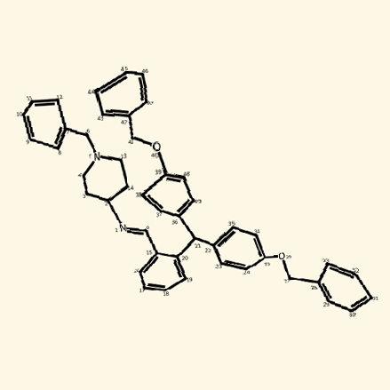 C(=NC1CCN(Cc2ccccc2)CC1)c1ccccc1C(c1ccc(OCc2ccccc2)cc1)c1ccc(OCc2ccccc2)cc1